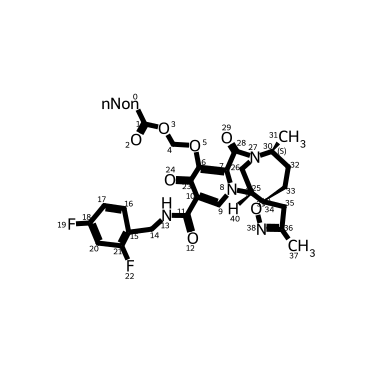 CCCCCCCCCC(=O)OCOc1c2n(cc(C(=O)NCc3ccc(F)cc3F)c1=O)[C@@H]1CN(C2=O)[C@@H](C)CC[C@]12CC(C)=NO2